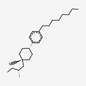 CCCCCCCCc1ccc([C@H]2CC[C@@](C#N)(C[C@H](C)CC)CC2)cc1